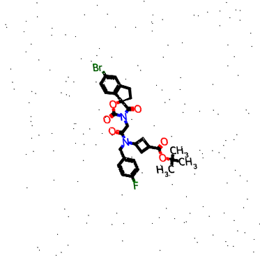 CC(C)(C)OC(=O)C1CC(N(Cc2ccc(F)cc2)C(=O)CN2C(=O)O[C@@]3(CCc4cc(Br)ccc43)C2=O)C1